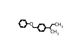 CCC(C)c1ccc(COc2ccccc2)cc1